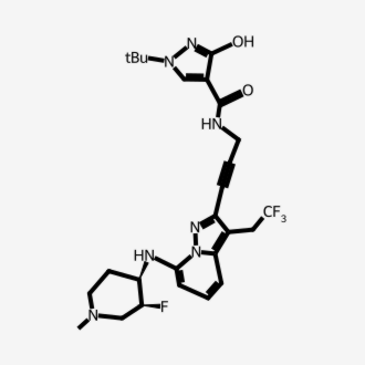 CN1CC[C@@H](Nc2cccc3c(CC(F)(F)F)c(C#CCNC(=O)c4cn(C(C)(C)C)nc4O)nn23)[C@@H](F)C1